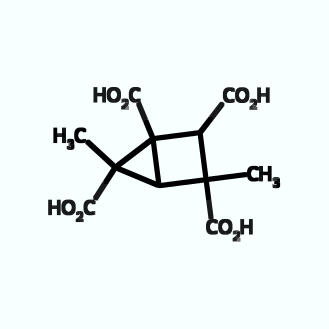 CC1(C(=O)O)C(C(=O)O)C2(C(=O)O)C1C2(C)C(=O)O